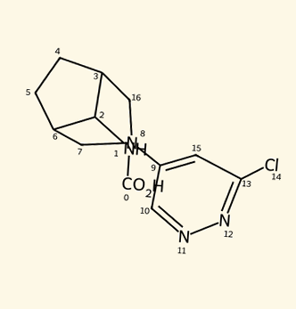 O=C(O)NC1C2CCC1CN(c1cnnc(Cl)c1)C2